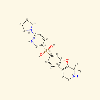 CC1(C)NCCc2c1oc1cc(S(=O)(=O)c3ccc(N4CCCC4)nc3)ccc21